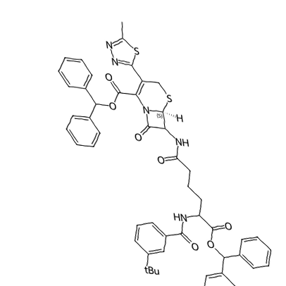 Cc1nnc(C2=C(C(=O)OC(c3ccccc3)c3ccccc3)N3C(=O)C(NC(=O)CCCC(NC(=O)c4cccc(C(C)(C)C)c4)C(=O)OC(c4ccccc4)c4ccccc4)[C@@H]3SC2)s1